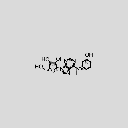 OC[C@H]1O[C@@H](n2cnc3c(N[C@@H]4CCC[C@@H](O)C4)ncnc32)[C@H](O)[C@@H]1O